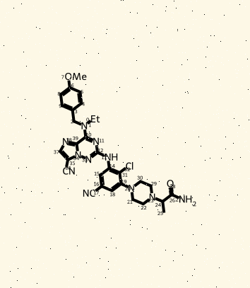 CCN(Cc1ccc(OC)cc1)c1nc(Nc2cc(C#N)cc(N3CCN(C(C)C(N)=O)CC3)c2Cl)nn2c(C#N)cnc12